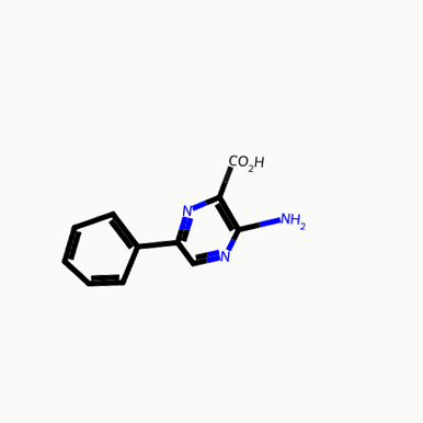 Nc1ncc(-c2ccccc2)nc1C(=O)O